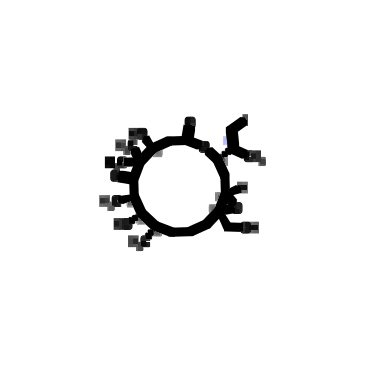 C/C(=C\I)[C@@H]1C[C@@H]2O[C@]2(CO)CCC[C@H](C)[C@H](O)[C@@H](C)C(=O)C(C)(C)[C@@H](O)CC(=O)O1